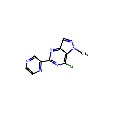 Cn1ncc2nc(-c3cnccn3)nc(Cl)c21